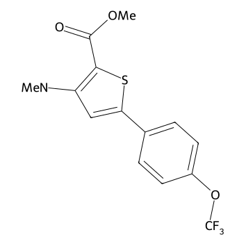 CNc1cc(-c2ccc(OC(F)(F)F)cc2)sc1C(=O)OC